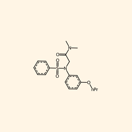 CCCOc1cccc(N(CC(=O)N(C)C)S(=O)(=O)c2ccccc2)c1